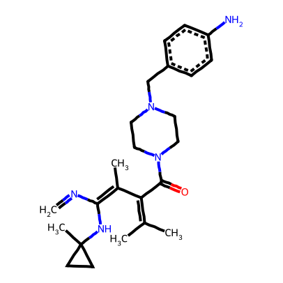 C=N/C(NC1(C)CC1)=C(\C)C(C(=O)N1CCN(Cc2ccc(N)cc2)CC1)=C(C)C